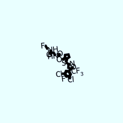 O=C(CNC(=O)Oc1sc(C2=NOC(c3cc(Cl)c(F)c(Cl)c3)(C(F)(F)F)C2)c2c1CCC2)NCCF